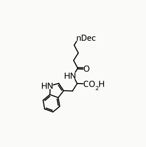 CCCCCCCCCCCCCC(=O)NC(Cc1c[nH]c2ccccc12)C(=O)O